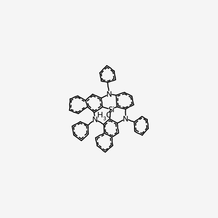 C[Si]12c3c4cccc3N(c3ccccc3)c3cc5ccccc5c(c31)N(c1ccccc1)c1c2c(cc2ccccc12)N4c1ccccc1